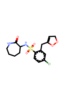 O=C1NCCCCC1NS(=O)(=O)c1ccc(Cl)cc1CC1=CCOO1